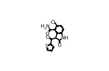 NC(=O)c1c(Cl)ccc2c1C(C(=O)c1cccs1)C(=O)N2